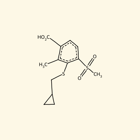 Cc1c(C(=O)O)ccc(S(C)(=O)=O)c1SCC1CC1